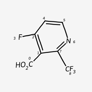 O=C(O)c1c(F)ccnc1C(F)(F)F